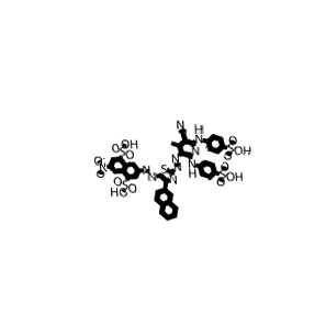 Cc1c(C#N)c(Nc2ccc(S(=O)(=O)O)cc2)nc(Nc2ccc(S(=O)(=O)O)cc2)c1/N=N/c1nc(-c2ccc3ccccc3c2)c(/N=N/c2cc(S(=O)(=O)O)c3cc([N+](=O)[O-])cc(S(=O)(=O)O)c3c2)s1